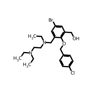 CCN(CC)CCN(CC)Cc1cc(Br)cc(CO)c1OCc1ccc(Cl)cc1